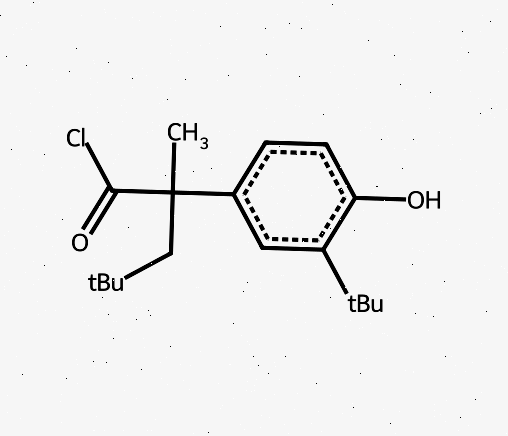 CC(C)(C)CC(C)(C(=O)Cl)c1ccc(O)c(C(C)(C)C)c1